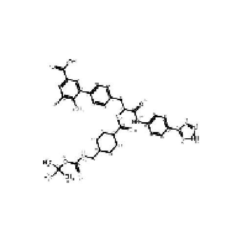 Cc1c(F)cc(C(=O)O)cc1-c1ccc(C[C@H](NC(=O)C2CCC(CNC(=O)OC(C)(C)C)CC2)C(=O)Nc2ccc(-c3nn[nH]n3)cc2)cc1